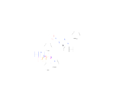 C[C@@H]1CN(C(=O)c2ccc(NS(=O)(=O)c3cccc4cccnc34)cc2)CCN1Cc1ccccc1